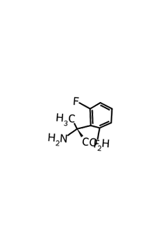 C[C@](N)(C(=O)O)c1c(F)cccc1F